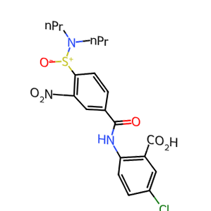 CCCN(CCC)[S+]([O-])c1ccc(C(=O)Nc2ccc(Cl)cc2C(=O)O)cc1[N+](=O)[O-]